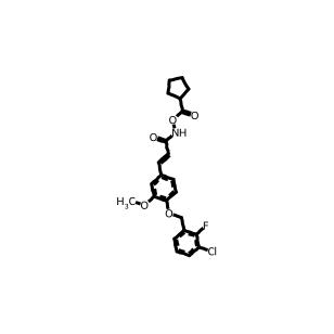 COc1cc(/C=C/C(=O)NOC(=O)C2CCCC2)ccc1OCc1cccc(Cl)c1F